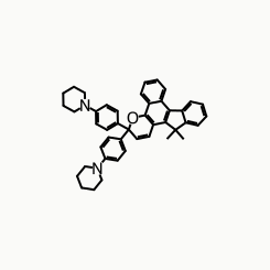 CC1(C)c2ccccc2-c2c1c1c(c3ccccc23)OC(c2ccc(N3CCCCC3)cc2)(c2ccc(N3CCCCC3)cc2)C=C1